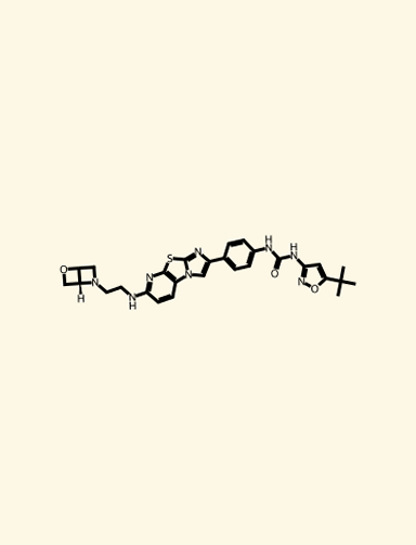 CC(C)(C)c1cc(NC(=O)Nc2ccc(-c3cn4c(n3)sc3nc(NCCN5CC6OC[C@H]65)ccc34)cc2)no1